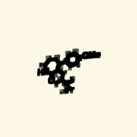 COc1ccc(C2=C(CC(C)N(C)C(C)C)C(=O)NCCC2)cc1